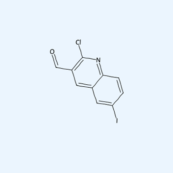 O=Cc1cc2cc(I)ccc2nc1Cl